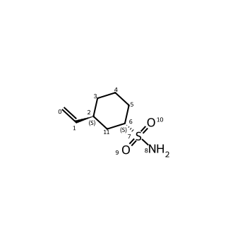 C=C[C@H]1CCC[C@H](S(N)(=O)=O)C1